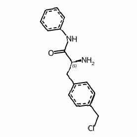 N[C@@H](Cc1ccc(CCl)cc1)C(=O)Nc1ccccc1